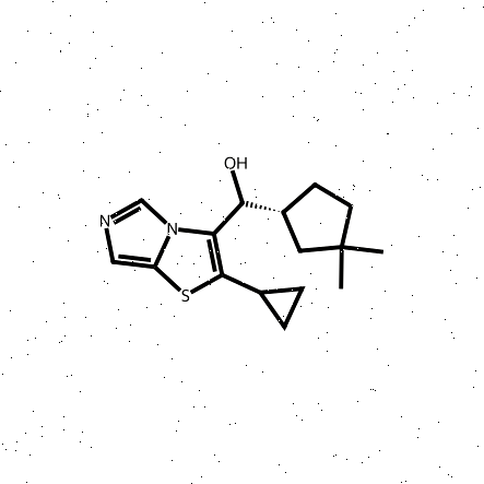 CC1(C)CC[C@@H](C(O)c2c(C3CC3)sc3cncn23)C1